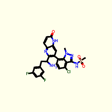 Cn1nc(NS(C)(=O)=O)c2c(Cl)ccc(-c3cc4[nH]c(=O)ccc4nc3C(N)Cc3cc(F)cc(F)c3)c21